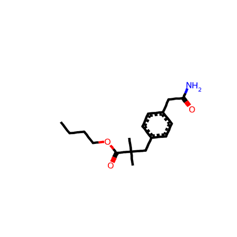 CCCCOC(=O)C(C)(C)Cc1ccc(CC(N)=O)cc1